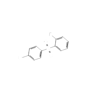 O=S(=O)(c1ccc(Cl)cc1)c1ccccc1F